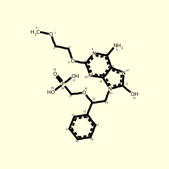 COCCOc1nc(N)c2nc(O)n(CC(OCP(=O)(O)O)c3ccccc3)c2n1